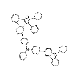 c1ccc(-c2oc3c4ccccc4c4ccc(-c5ccc(N(c6ccccc6)c6ccc(-c7ccc8c(c7)c7ccccc7n8-c7ccccc7)cc6)cc5)cc4c3c2-c2ccccc2)cc1